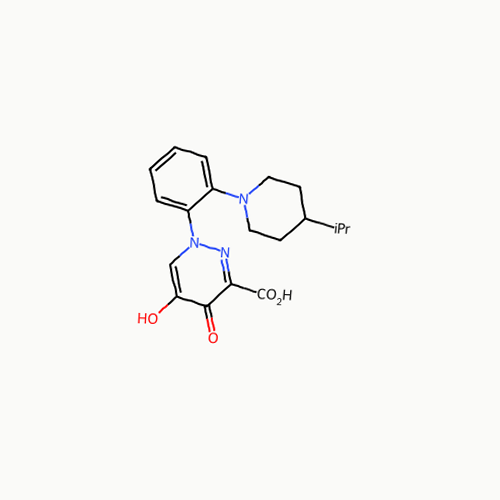 CC(C)C1CCN(c2ccccc2-n2cc(O)c(=O)c(C(=O)O)n2)CC1